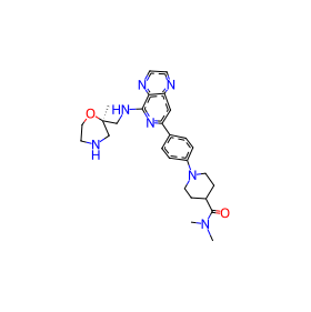 CN(C)C(=O)C1CCN(c2ccc(-c3cc4nccnc4c(NC[C@@]4(C)CNCCO4)n3)cc2)CC1